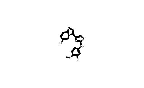 COc1ccc(Nc2nc(-c3cnc4ccc(Cl)cn34)cs2)cc1Cl